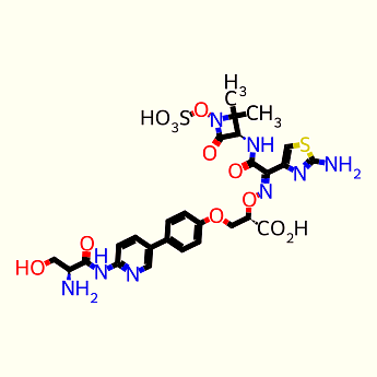 CC1(C)[C@H](NC(=O)/C(=N\O[C@@H](COc2ccc(-c3ccc(NC(=O)[C@@H](N)CO)nc3)cc2)C(=O)O)c2csc(N)n2)C(=O)N1OS(=O)(=O)O